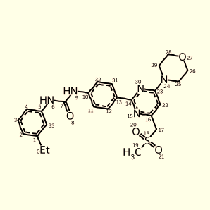 CCc1cccc(NC(=O)Nc2ccc(-c3nc(CS(C)(=O)=O)cc(N4CCOCC4)n3)cc2)c1